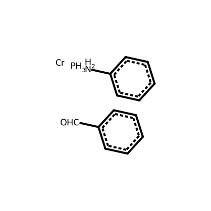 Nc1ccccc1.O=Cc1ccccc1.P.[Cr]